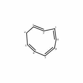 [C]1=C\C=C\C/C=C\C=C/1